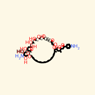 CC1C=CC=CC=CC=CC=CC=CC=CC(OC2O[C@H](C)[C@@H](O)[C@H](N)[C@@H]2O)CC2OC(O)(CC(O)CC(O)CC(O)CC(=O)CCCC(=O)CC(=O)OC1C(C)CC(C)C(O)CC(=O)c1ccc(N)cc1)CC(O)C2C(=O)O